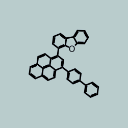 c1ccc(-c2ccc(-c3cc(-c4cccc5c4oc4ccccc45)c4ccc5cccc6ccc3c4c65)cc2)cc1